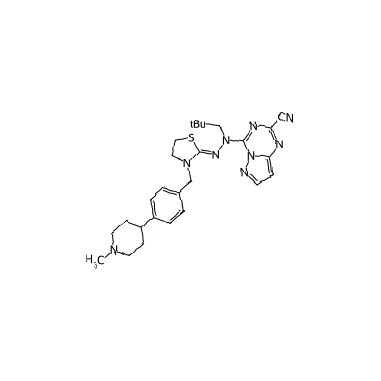 CN1CCC(c2ccc(CN3CCSC3=NN(CC(C)(C)C)c3nc(C#N)nc4ccnn34)cc2)CC1